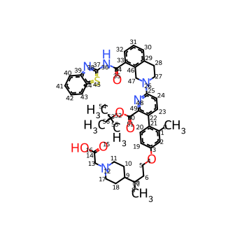 Cc1cc(OCC[C@@H](C)C2CCN(CC(=O)O)CC2)ccc1-c1ccc(N2CCc3cccc(C(=O)Nc4nc5ccccc5s4)c3C2)nc1C(=O)OC(C)(C)C